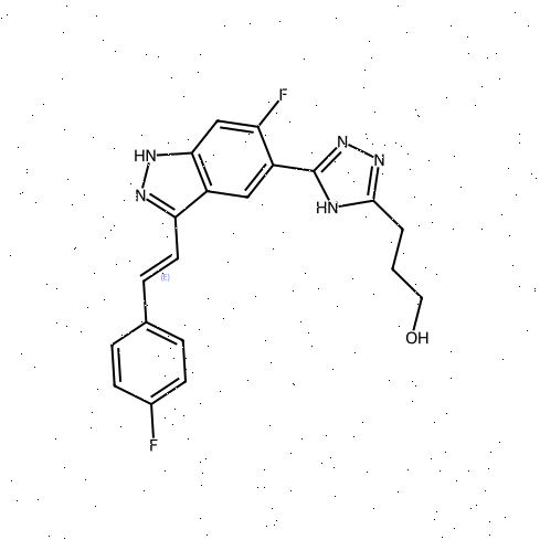 OCCCc1nnc(-c2cc3c(/C=C/c4ccc(F)cc4)n[nH]c3cc2F)[nH]1